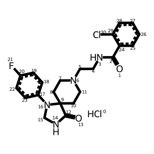 Cl.O=C(NCCN1CCC2(CC1)C(=O)NCN2c1ccc(F)cc1)c1ccccc1Cl